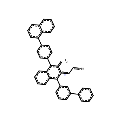 C=c1c(-c2ccc(-c3cccc4ccccc34)cc2)c2ccccc2c(-c2cccc(-c3ccccc3)c2)/c1=C/C=N